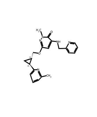 Cc1cccc([C@H]2C[C@@H]2COc2cc(NCc3ccccn3)c(=O)n(C)n2)n1